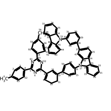 Cc1ccc(-c2nc(C3=CCCC(c4ccc(-n5c6ccccc6c6ccc(-c7cccc(-n8c9ccccc9c9ccccc98)c7)cc65)cc4)=C3)nc(-c3ccc(C)cc3)n2)cc1